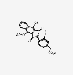 CCOc1c2c(c(CC)c3ccccc13)C(=O)N(c1ccc(CC(=O)O)cc1F)C2=O